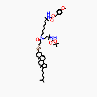 COc1ccc(COC(=O)NC(C)(C)CCCCCCCN(CCC(C)(C)NC(=O)OC(C)(C)C)C(=O)CCSSC2CCC3(C)C(=CCC4C3CCC3(C)C(CCCCC(C)C)CCC43)C2)cc1